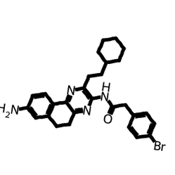 Nc1ccc2c(c1)CCc1nc(NC(=O)Cc3ccc(Br)cc3)c(CCC3CCCCC3)nc1-2